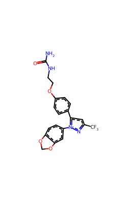 NC(=O)NCCOc1ccc(-c2cc(C(F)(F)F)nn2-c2ccc3c(c2)OCO3)cc1